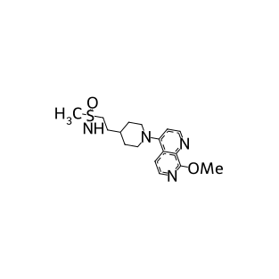 COc1nccc2c(N3CCC(CCS(C)(=N)=O)CC3)ccnc12